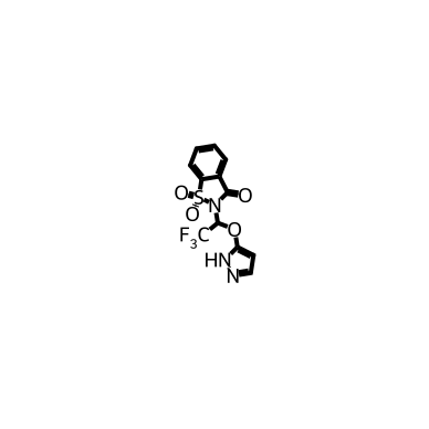 O=C1c2ccccc2S(=O)(=O)N1C(Oc1ccn[nH]1)C(F)(F)F